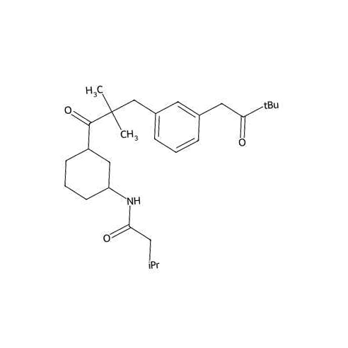 CC(C)CC(=O)NC1CCCC(C(=O)C(C)(C)Cc2cccc(CC(=O)C(C)(C)C)c2)C1